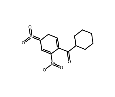 O=C(C1=CCC(=S(=O)=O)C=C1[N+](=O)[O-])C1CCCCC1